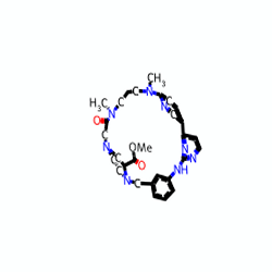 COC(=O)C1CN2CCN1Cc1cccc(c1)Nc1nccc(n1)-c1ccc(nc1)N(C)CCCN(C)C(=O)C2